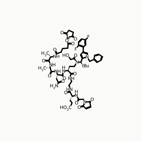 C[C@H](NC(=O)CCCC(=O)ON1C(=O)CCC1=O)C(=O)N[C@@H](C)C(=O)N[C@@H](CC(N)=O)C(=O)N[C@@H](CCN(C(=O)CO)[C@@H](c1cc(-c2cc(F)ccc2F)cn1Cc1ccccc1)C(C)(C)C)C(=O)NCCNC(=O)[C@@H](CCC(=O)O)NC(=O)CN1C(=O)C=CC1=O